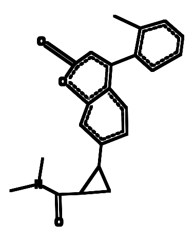 Cc1ccccc1-c1cc(=O)oc2cc(C3CC3C(=O)N(C)C)ccc12